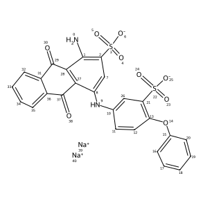 Nc1c(S(=O)(=O)[O-])cc(Nc2ccc(Oc3ccccc3)c(S(=O)(=O)[O-])c2)c2c1C(=O)c1ccccc1C2=O.[Na+].[Na+]